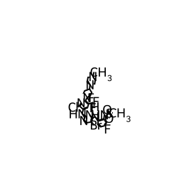 CN1CCN(C2CCN(c3nc(Cl)c(Nc4ncc(Br)c(Nc5ccc(F)cc5NS(C)(=O)=O)n4)cc3C(F)(F)F)CC2)CC1